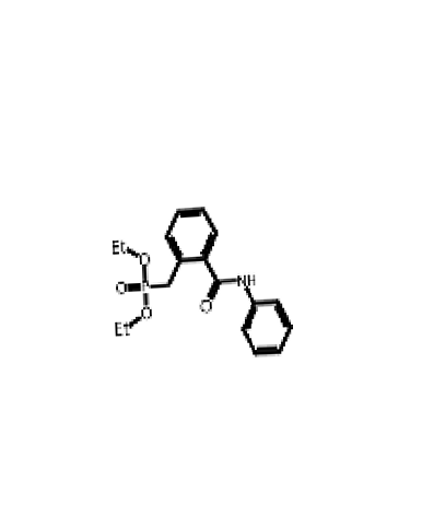 CCOP(=O)(Cc1ccccc1C(=O)Nc1ccccc1)OCC